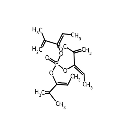 C=C(C)/C(=C/C)OP(=O)(O/C(=C\C)C(=C)C)O/C(=C\C)C(=C)C